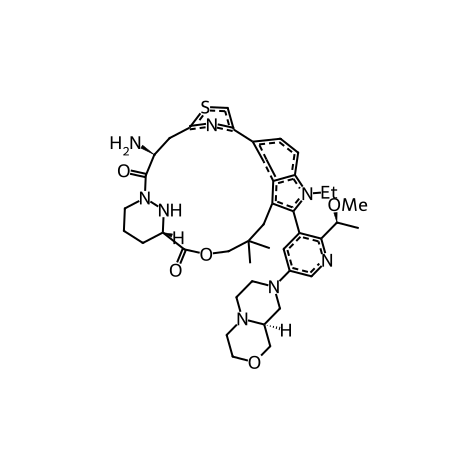 CCn1c(-c2cc(N3CCN4CCOC[C@@H]4C3)cnc2[C@H](C)OC)c2c3cc(ccc31)-c1csc(n1)C[C@H](N)C(=O)N1CCC[C@H](N1)C(=O)OCC(C)(C)C2